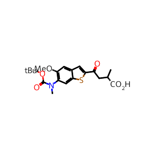 COc1cc2cc(C(=O)CC(C)C(=O)O)sc2cc1N(C)C(=O)OC(C)(C)C